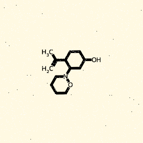 C=C(C)C1CCC(O)CC1N1CCCCO1